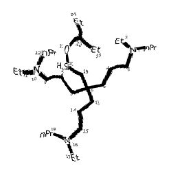 CCCN(CC)CCCC(CCCN(CC)CCC)(CCCN(CC)CCC)C[SiH2]OC(CC)CC